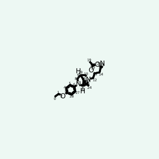 CCOc1ccc(N2C[C@H]3CN(CC(CC#N)OC(C)=O)C[C@@H]2C(C)(C)C3)cc1